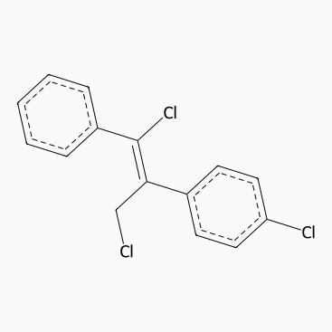 ClCC(=C(Cl)c1ccccc1)c1ccc(Cl)cc1